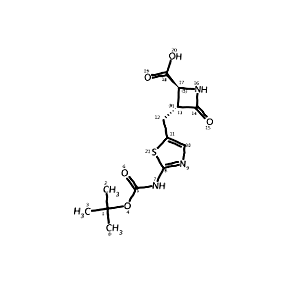 CC(C)(C)OC(=O)Nc1ncc(C[C@H]2C(=O)N[C@@H]2C(=O)O)s1